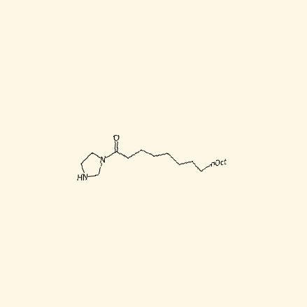 CCCCCCCCCCCCCCCC(=O)N1CCNC1